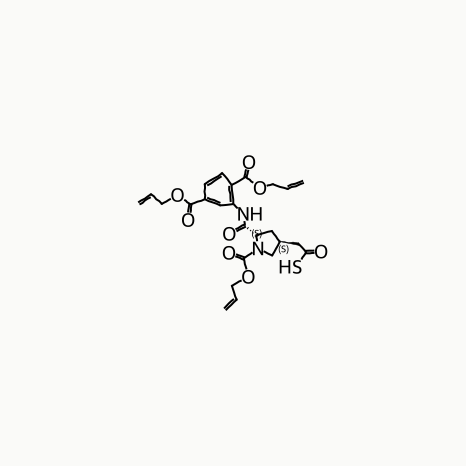 C=CCOC(=O)c1ccc(C(=O)OCC=C)c(NC(=O)[C@@H]2C[C@@H](CC(=O)S)CN2C(=O)OCC=C)c1